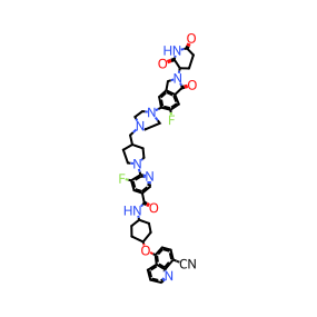 N#Cc1ccc(OC2CCC(NC(=O)c3cnc(N4CCC(CN5CCN(c6cc7c(cc6F)C(=O)N(C6CCC(=O)NC6=O)C7)CC5)CC4)c(F)c3)CC2)c2cccnc12